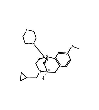 COc1ccc2c(c1)[C@]13CCN(CC4CC4)[C@H](C2)C1OCC(N1CCOCC1)C3